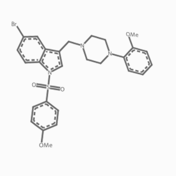 COc1ccc(S(=O)(=O)n2cc(CN3CCN(c4ccccc4OC)CC3)c3cc(Br)ccc32)cc1